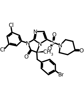 C[C@@]1(Cc2ccc(Br)cc2)C(=O)N(c2cc(Cl)cc(Cl)c2)c2ncc(S(=O)(=O)N3CCC(=O)CC3)n21